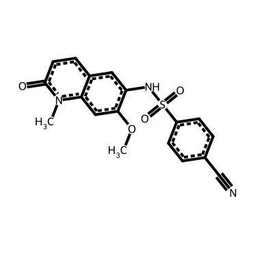 COc1cc2c(ccc(=O)n2C)cc1NS(=O)(=O)c1ccc(C#N)cc1